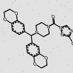 N#Cc1ncn(C(=O)N2CCN(C(c3ccc4c(c3)OCCO4)c3ccc4c(c3)OCCO4)CC2)n1